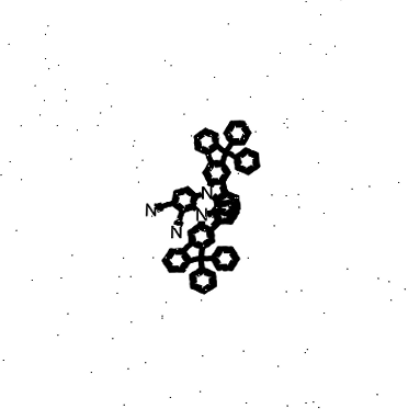 N#Cc1ccc(-n2c3ccccc3c3cc4c(cc32)-c2ccccc2C4(c2ccccc2)c2ccccc2)c(-n2c3ccccc3c3cc4c(cc32)-c2ccccc2C4(c2ccccc2)c2ccccc2)c1C#N